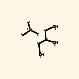 OCC(O)CO.[CH3][Al]([CH3])[CH3]